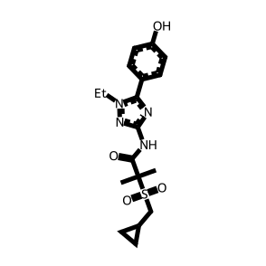 CCn1nc(NC(=O)C(C)(C)S(=O)(=O)CC2CC2)nc1-c1ccc(O)cc1